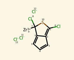 ClC1=C2C=CC=C2[C](Cl)([Zr+3])S1.[Cl-].[Cl-].[Cl-]